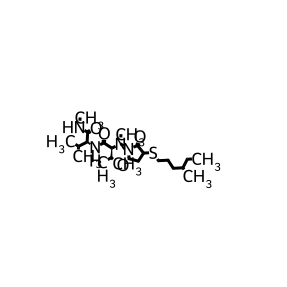 CCC(C)CCCSC1CC(=O)N(N(C)[C@H](C(=O)N[C@H](C(=O)NC)C(C)C)C(C)C)C1=O